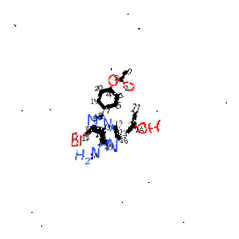 CC(=O)O[C@H]1CC[C@H](c2nc(Br)c3c(N)nccn32)CC1.CC(C)O